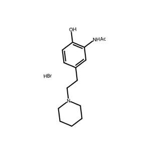 Br.CC(=O)Nc1cc(CCN2CCCCC2)ccc1O